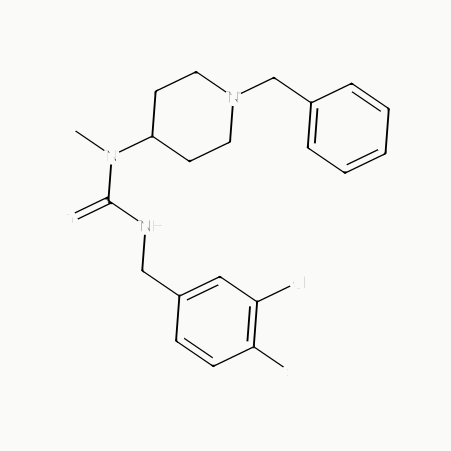 CN(C(=O)NCc1ccc(Cl)c(Cl)c1)C1CCN(Cc2ccccc2)CC1